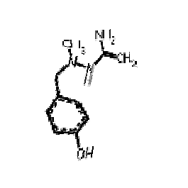 C=C(N)NN(C)Cc1ccc(O)cc1